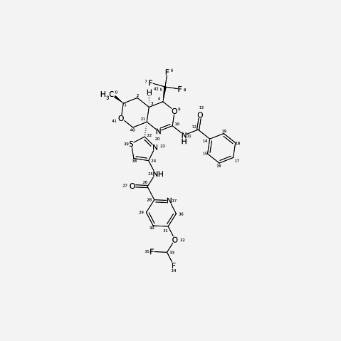 C[C@H]1C[C@H]2[C@@H](C(F)(F)F)OC(NC(=O)c3ccccc3)=N[C@@]2(c2nc(NC(=O)c3ccc(OC(F)F)cn3)cs2)CO1